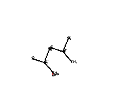 CCCCCCCCCCCCCCCCC(CCCCCCCCCCCCCCCC(=O)[O-])(CCCCCCCCCCCCCC(=O)[O-])C(=O)[O-].CCCCCCCCCCCCCCCCC(CCCCCCCCCCCCCCCC(=O)[O-])(CCCCCCCCCCCCCC(=O)[O-])C(=O)[O-].[Zn+2].[Zn+2].[Zn+2]